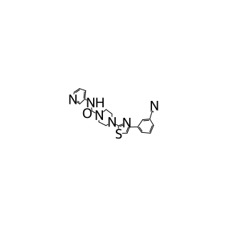 N#Cc1cccc(-c2csc(N3CCN(C(=O)Nc4cccnc4)CC3)n2)c1